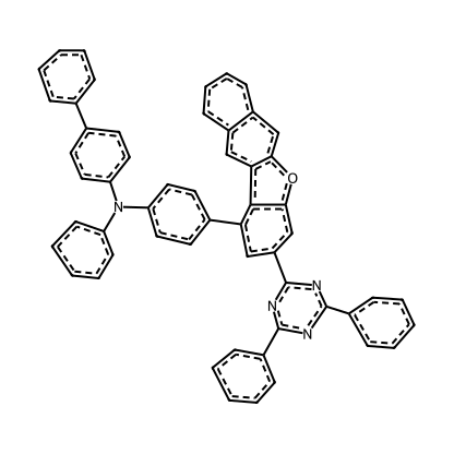 c1ccc(-c2ccc(N(c3ccccc3)c3ccc(-c4cc(-c5nc(-c6ccccc6)nc(-c6ccccc6)n5)cc5oc6cc7ccccc7cc6c45)cc3)cc2)cc1